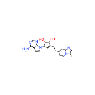 Cc1cnc2cc(CCC3=CC(n4ccc5c(N)ncnc54)C(O)C3O)ccn12